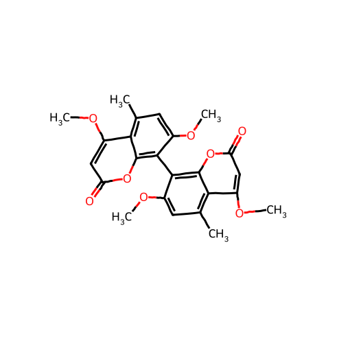 COc1cc(C)c2c(OC)cc(=O)oc2c1-c1c(OC)cc(C)c2c(OC)cc(=O)oc12